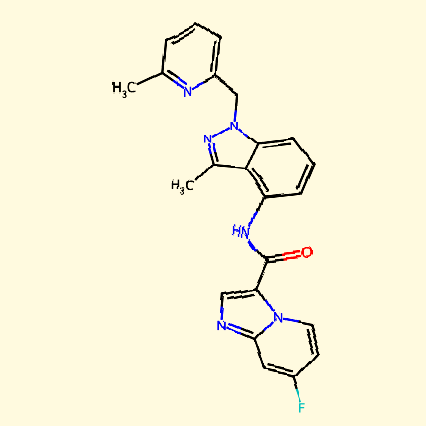 Cc1cccc(Cn2nc(C)c3c(NC(=O)c4cnc5cc(F)ccn45)cccc32)n1